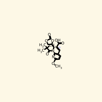 COc1ccc(/C=C/C(=O)O)c(N(CC2COC(=O)O2)C(=O)C(C)(C)C)n1